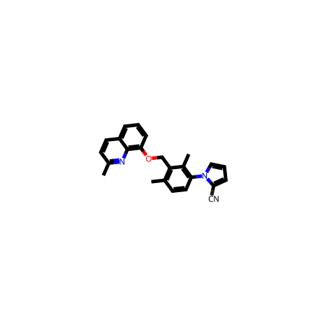 Cc1ccc2cccc(OCc3c(C)ccc(-n4cccc4C#N)c3C)c2n1